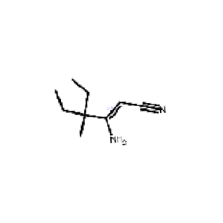 CCC(C)(CC)/C(N)=C/C#N